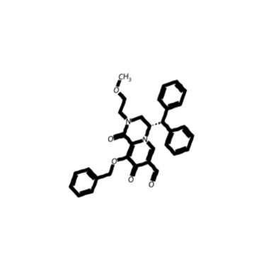 COCCN1C[C@H](C(c2ccccc2)c2ccccc2)n2cc(C=O)c(=O)c(OCc3ccccc3)c2C1=O